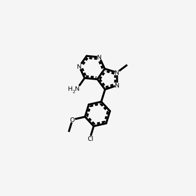 COc1cc(-c2nn(C)c3ncnc(N)c23)ccc1Cl